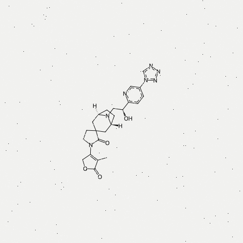 CC1=C(N2CCC3(C[C@H]4CC[C@H](C3)N4C[C@H](O)c3ccc(-n4cnnn4)cn3)C2=O)COC1=O